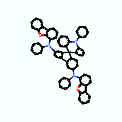 c1ccc(N2c3ccccc3C3(c4ccc(N(c5ccccc5)c5cccc6c5oc5ccccc56)cc4-c4ccc(N(c5ccccc5)c5cccc6c5oc5ccccc56)cc43)c3ccccc32)cc1